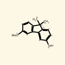 COc1ccc2c(c1)-c1cc([SeH])ccc1C2(C)C